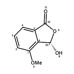 COc1cccc2c1[C@@H](O)OC2=O